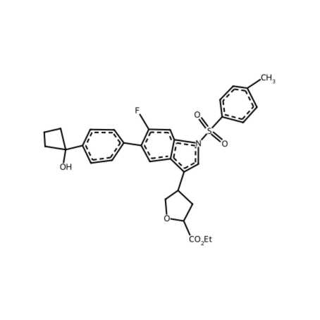 CCOC(=O)C1CC(c2cn(S(=O)(=O)c3ccc(C)cc3)c3cc(F)c(-c4ccc(C5(O)CCC5)cc4)cc23)CO1